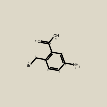 Nc1ccc(CBr)c(C(=O)O)c1